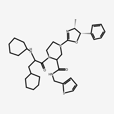 C[C@H]1N=C(N2CCN(C(=O)C(CC3CCCCC3)NC3CCCCC3)C(C(=O)NCc3cccs3)C2)O[C@H]1c1ccccc1